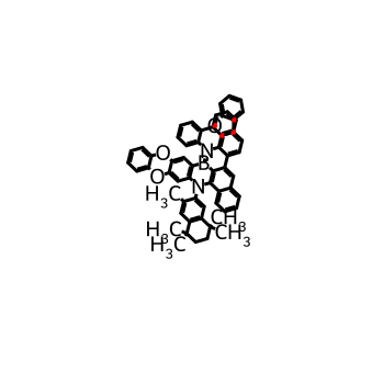 Cc1cc2c(cc1N1c3cc4c(cc3B3c5c(cc6ccccc6c51)-c1ccc5c(oc6ccccc65)c1N3c1ccccc1-c1ccccc1)Oc1ccccc1O4)C(C)(C)CCC2(C)C